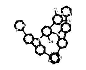 N#Cc1cc(-c2ccc(-n3c4cc(-c5ncccn5)ccc4c4ccc(-c5ncccn5)cc43)c(C#N)c2-n2c3cc(-c4ncccn4)ccc3c3ccc(-c4ncccn4)cc32)cc(C(F)(F)F)c1